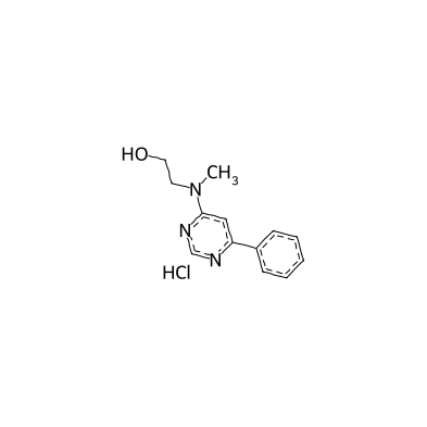 CN(CCO)c1cc(-c2ccccc2)ncn1.Cl